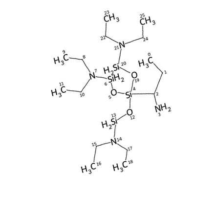 CCC(N)[Si](O[SiH2]N(CC)CC)(O[SiH2]N(CC)CC)O[SiH2]N(CC)CC